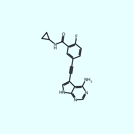 Nc1ncnc2[nH]cc(C#Cc3ccc(F)c(C(=O)NC4CC4)c3)c12